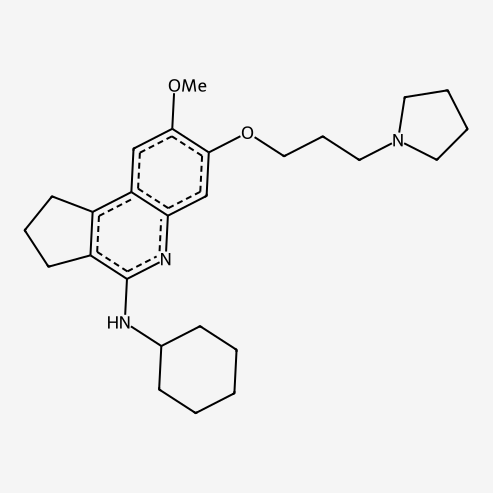 COc1cc2c3c(c(NC4CCCCC4)nc2cc1OCCCN1CCCC1)CCC3